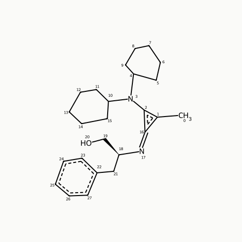 Cc1c(N(C2CCCCC2)C2CCCCC2)/c1=N\[C@H](CO)Cc1ccccc1